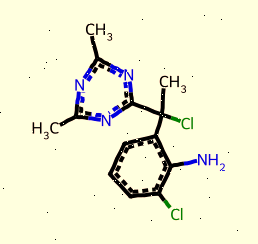 Cc1nc(C)nc(C(C)(Cl)c2cccc(Cl)c2N)n1